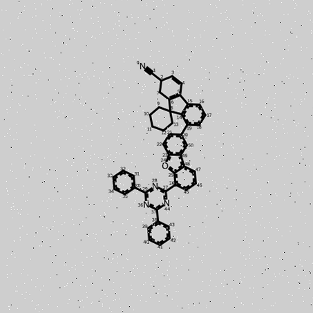 N#CC1C=CC2=C(C1)C1(CCCCC1)c1c2cccc1-c1ccc2oc3c(-c4nc(-c5ccccc5)nc(-c5ccccc5)n4)cccc3c2c1